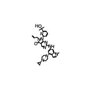 C=CCn1c(=O)c2cnc(Nc3cc(N4CCN(C5CC5)CC4)c4ccn(C)c4c3)nc2n1-c1cccc(C(C)(C)O)n1